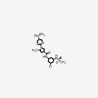 Cc1cc(C(=O)Nc2cc(Cl)cc(NS(C)(=O)=O)c2)cn1-c1ncc([S+](C)[O-])cn1